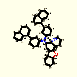 c1cc(-c2cccc3ccccc23)cc(N(c2cccc(-c3cccc4ccccc34)c2)c2cc3c4ccccc4oc3c3cccnc23)c1